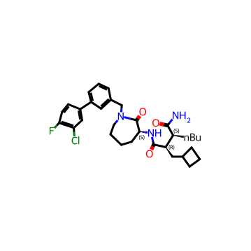 CCCC[C@H](C(N)=O)[C@@H](CC1CCC1)C(=O)N[C@H]1CCCCN(Cc2cccc(-c3ccc(F)c(Cl)c3)c2)C1=O